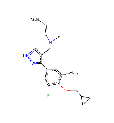 CNCCN(C)Cc1c[nH]nc1-c1cc(F)c(OCC2CC2)c(C(F)(F)F)c1